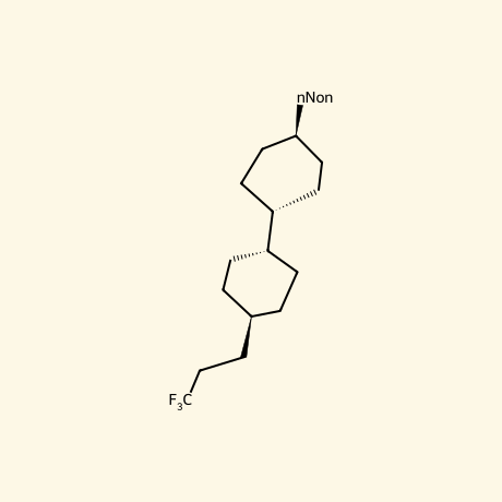 CCCCCCCCC[C@H]1CC[C@H]([C@H]2CC[C@H](CCC(F)(F)F)CC2)CC1